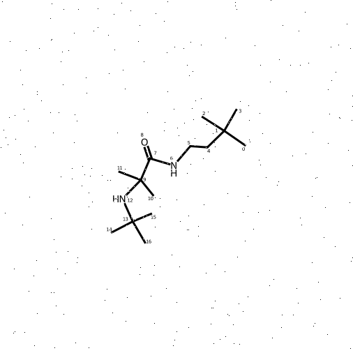 CC(C)(C)CCNC(=O)C(C)(C)NC(C)(C)C